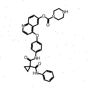 O=C(Oc1ccc2nccc(Oc3ccc(NC(=O)C4(C(=O)Nc5ccccc5)CC4)cc3)c2c1)N1CCNCC1